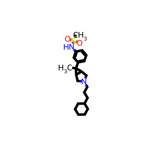 CC1(c2cccc(NS(C)(=O)=O)c2)C2CN(CCCC3CCCCC3)CC21